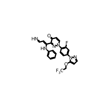 N=C/C=C(\Nc1ccccc1)c1nn(-c2ccc(-n3nccc3OCC(F)(F)F)cc2F)ccc1=O